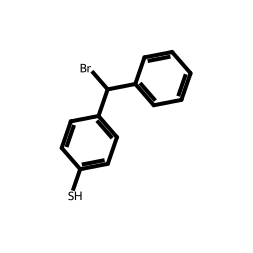 Sc1ccc(C(Br)c2ccccc2)cc1